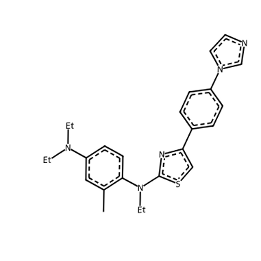 CCN(CC)c1ccc(N(CC)c2nc(-c3ccc(-n4ccnc4)cc3)cs2)c(C)c1